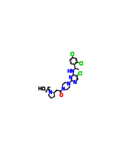 CC(Nc1nc(N2CCN(C(=O)C[C@H]3CCCN3C(=O)O)CC2)ncc1Cl)c1ccc(Cl)cc1Cl